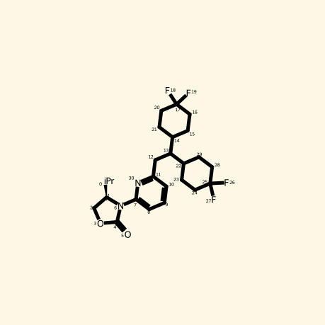 CC(C)[C@@H]1COC(=O)N1c1cccc(CC(C2CCC(F)(F)CC2)C2CCC(F)(F)CC2)n1